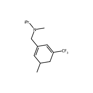 CC1C=C(CN(C)C(C)C)C=C(C(F)(F)F)C1